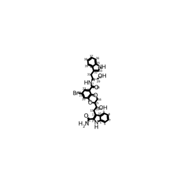 NC(=O)c1[nH]c2ccccc2c1C[C@@H](O)C1COc2c(cc(Br)cc2C(=O)N[C@@H](CO)Cc2c[nH]c3ccccc23)O1